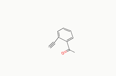 [C]#Cc1ccccc1C(C)=O